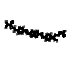 CCN(CCOC(C)=O)c1ccc(N=Nc2nc3sc(N=Nc4ccc(CCOC(=O)C(C)C)cc4)cc3s2)cc1